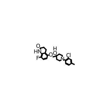 Cc1ccc(N2CCC(O)(COc3ccc(F)c4c3CCC(=O)N4)CC2)c(Cl)c1